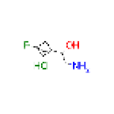 Cl.NCC(O)C12CC(F)(C1)C2